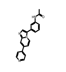 CC(=O)Nc1cccc(-c2cnc3cc(-c4ccncc4)ccn23)c1